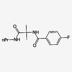 CCCNC(=O)C(C)(C)NC(=O)c1ccc(F)cc1